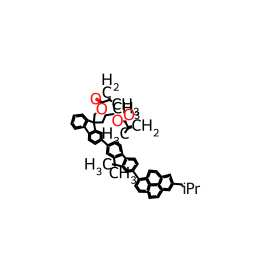 C=C(C)C(=O)OCC1(CCC(C)OC(=O)C(=C)C)c2ccccc2-c2ccc(-c3ccc4c(c3)C(C)(C)c3cc(-c5ccc6ccc7cc(CC(C)C)cc8ccc5c6c78)ccc3-4)cc21